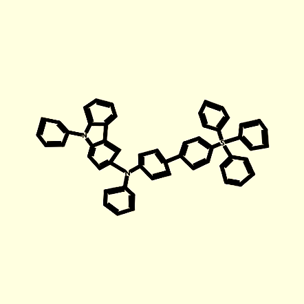 c1ccc(N(c2ccc(-c3ccc(S(c4ccccc4)(c4ccccc4)c4ccccc4)cc3)cc2)c2ccc3c(c2)c2ccccc2n3-c2ccccc2)cc1